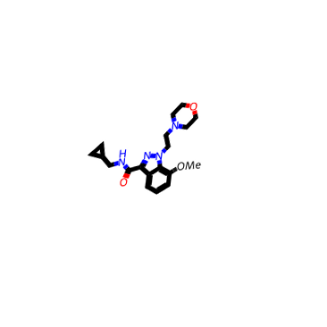 COc1cccc2c(C(=O)NCC3CC3)nn(CCN3CCOCC3)c12